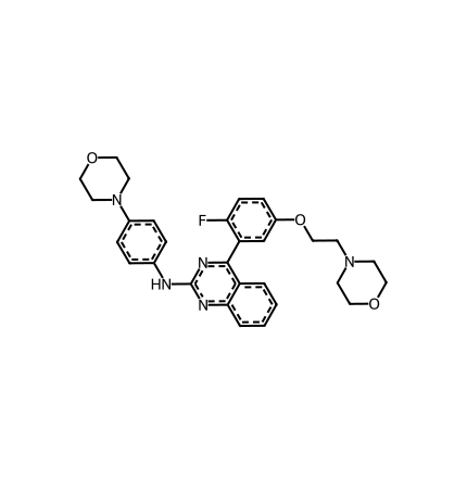 Fc1ccc(OCCN2CCOCC2)cc1-c1nc(Nc2ccc(N3CCOCC3)cc2)nc2ccccc12